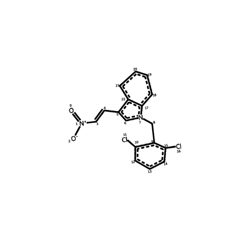 O=[N+]([O-])C=Cc1cn(Cc2c(Cl)cccc2Cl)c2ccccc12